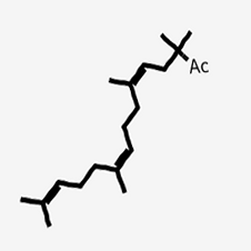 CC(=O)C(C)(C)CC=C(C)CCC=C(C)CCC=C(C)C